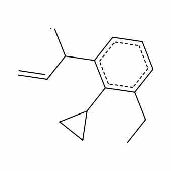 [CH2]C(C=C)c1cccc(CC)c1C1CC1